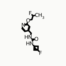 CC(F)COc1cc(CNC(=O)NC23CC(F)(C2)C3)ccn1